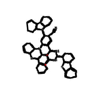 N#CC1C=C(C2NC(C3CCCCC3)NC(C3CCCC4C5=CCCC=C5SC43)N2)C(N2C3CCC=CC3OC3CCCCC32)CC1N1C2CCCCC2C2CCCCC21